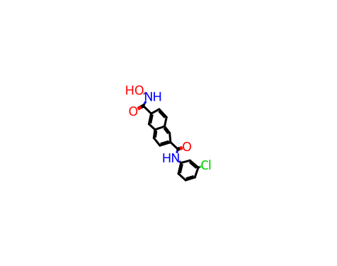 O=C(NO)c1ccc2cc(C(=O)Nc3cccc(Cl)c3)ccc2c1